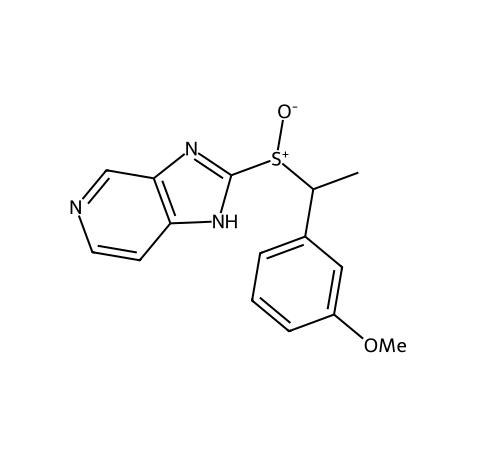 COc1cccc(C(C)[S+]([O-])c2nc3cnccc3[nH]2)c1